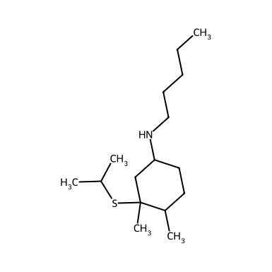 CCCCCNC1CCC(C)C(C)(SC(C)C)C1